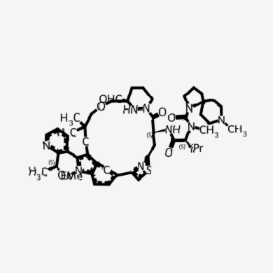 CCn1c(-c2cccnc2[C@H](C)OC)c2c3cc(ccc31)-c1csc(n1)C[C@H](NC(=O)[C@H](C(C)C)N(C)C(=O)N1CCCC13CCN(C)CC3)C(=O)N1CCCC(C=O)(COCC(C)(C)C2)N1